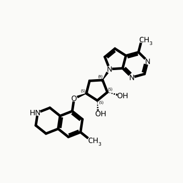 Cc1cc2c(c(O[C@H]3C[C@@H](n4ccc5c(C)ncnc54)[C@H](O)[C@@H]3O)c1)CNCC2